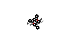 CC1(C)c2ccccc2-c2cc3c(c(N(c4ccccc4)c4cccc5c4sc4ccccc45)c21)C(C)(C)c1ccccc1-3